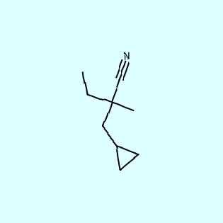 CCC(C)(C#N)CC1CC1